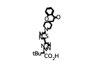 CC(C)(C)C(C(=O)O)n1nnc(-c2nnc(N3CCC4(CC3)CC(=O)c3ccccc3O4)s2)n1